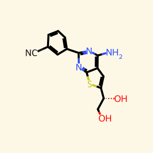 N#Cc1cccc(-c2nc(N)c3cc([C@H](O)CO)sc3n2)c1